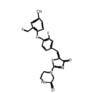 N#Cc1ccc(Oc2ccc(/C=C3\SC(N4CCNC(=O)C4)=NC3=O)cc2F)c(CF)c1